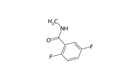 CNC(=O)c1cc(F)ccc1F